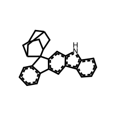 c1ccc2c(c1)-c1cc3c(cc1C21C2CC4CC(C2)CC1C4)[nH]c1ccccc13